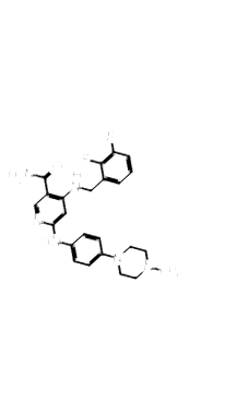 CCCN1CCN(c2ccc(Nc3cc(NCc4cccc(F)c4F)c(C(N)=O)cn3)cc2)CC1